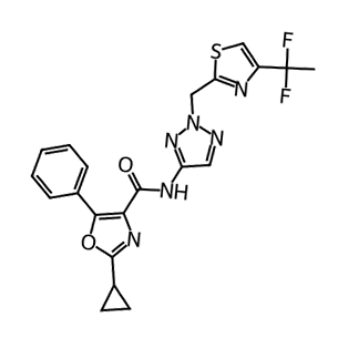 CC(F)(F)c1csc(Cn2ncc(NC(=O)c3nc(C4CC4)oc3-c3ccccc3)n2)n1